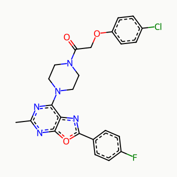 Cc1nc(N2CCN(C(=O)COc3ccc(Cl)cc3)CC2)c2nc(-c3ccc(F)cc3)oc2n1